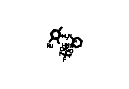 Cc1ccc(C)c(C)c1C.N[C@H]1CCCC[C@@H]1NS(=O)(=O)C(F)(F)F.[Ru]